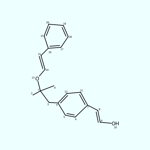 CC(C)(Cc1ccc(C=CO)cc1)OC=Cc1ccccc1